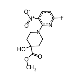 COC(=O)C1(O)CCN(c2nc(F)ccc2[N+](=O)[O-])CC1